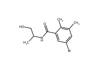 Cc1cc(Br)cc(C(=O)NC(C)CO)c1C